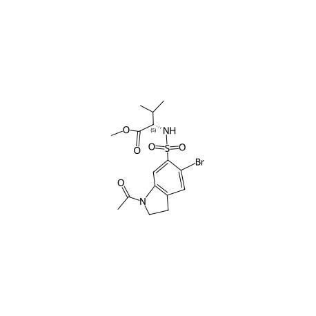 COC(=O)[C@@H](NS(=O)(=O)c1cc2c(cc1Br)CCN2C(C)=O)C(C)C